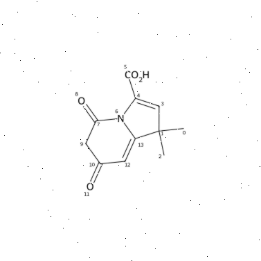 CC1(C)C=C(C(=O)O)N2C(=O)CC(=O)C=C21